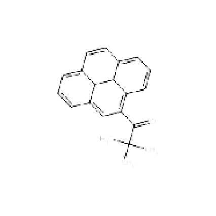 CC(C)(C)C(=O)C1=C2C=CC=C3C=CC4=CC=CC(=C1)C4C32